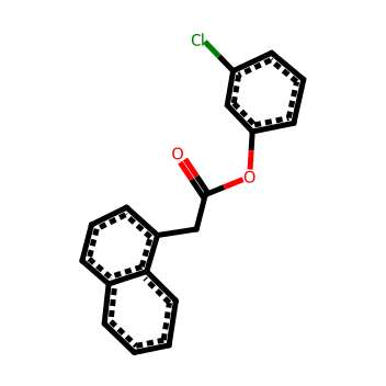 O=C(Cc1cccc2ccccc12)Oc1cccc(Cl)c1